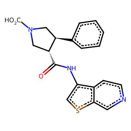 O=C(Nc1csc2cnccc12)[C@@H]1CN(C(=O)O)C[C@H]1c1ccccc1